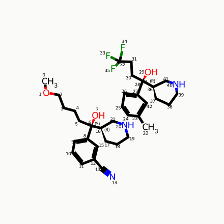 COCCCC[C@@](O)(c1cccc(C#N)c1)[C@@H]1CCCNC1.Cc1cccc([C@](O)(CCC(F)(F)F)[C@@H]2CCCNC2)c1